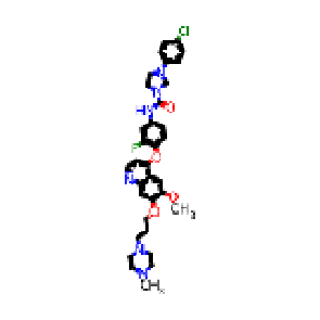 COc1cc2c(Oc3ccc(NC(=O)N4C=CN(c5ccc(Cl)cc5)C4)cc3F)ccnc2cc1OCCCN1CCN(C)CC1